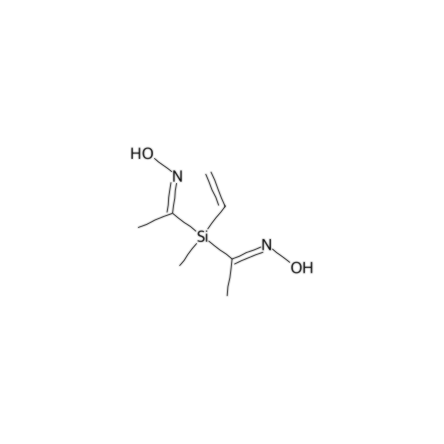 C=C[Si](C)(C(C)=NO)C(C)=NO